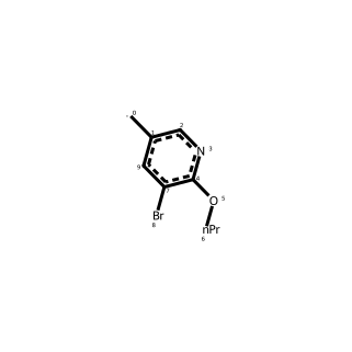 [CH2]c1cnc(OCCC)c(Br)c1